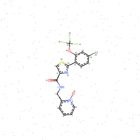 O=C(NCc1cccc[n+]1[O-])c1csc(-c2ccc(Cl)cc2OC(F)(F)F)n1